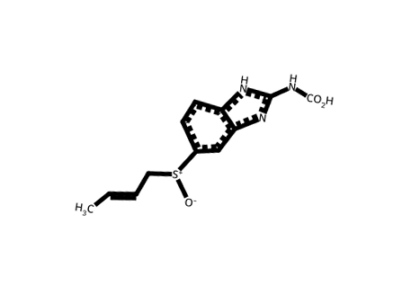 CC=CC[S+]([O-])c1ccc2[nH]c(NC(=O)O)nc2c1